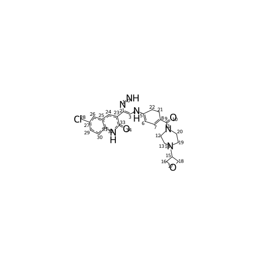 N=N/C(=C\NC1=CC=C(C(=O)N2CCN(C3COC3)CC2)CC1)c1cc2cc(Cl)ccc2[nH]c1=O